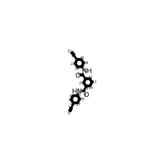 C#Cc1ccc(NC(=O)c2cccc(C(=O)Nc3ccc(C#C)cc3)c2)cc1